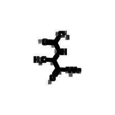 CNC(=O)C(C)NC(=O)C(F)(F)F